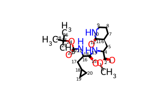 COC(=O)C(C[C@@H]1CCCNC1=O)NC(=O)C(CC1CC1)NC(=O)OC(C)(C)C